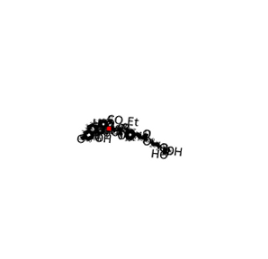 CCOC(=O)O[C@]1(C(=O)COC(=O)Oc2ccc(/C=C/C(=O)OCCCCON(O)O)cc2OC)CC[C@H]2[C@@H]3CCC4=CC(=O)C=C[C@]4(C)[C@H]3[C@@H](O)C[C@@]21C